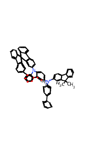 C=Cc1cccc(-c2ccc3c(c2)C2(c4ccccc4-3)c3ccccc3-c3ccc(-n4c5ccccc5c5cc(N(c6ccc(-c7ccccc7)cc6)c6ccc7c(c6)C(C)(C)c6ccccc6-7)ccc54)cc32)c1